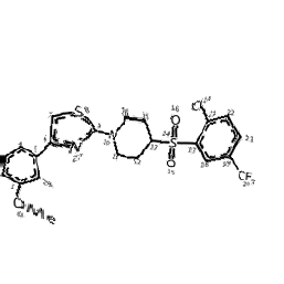 COc1cccc(-c2csc(N3CCC(S(=O)(=O)c4cc(C(F)(F)F)ccc4Cl)CC3)n2)c1